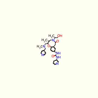 CC(CO)N1C[C@@H](C)[C@H](CN(C)Cc2ccncc2)Oc2ccc(NC(=O)Nc3cccnc3)cc2CC1=O